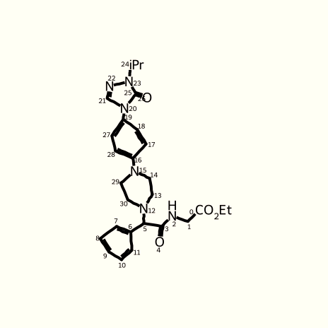 CCOC(=O)CNC(=O)C(c1ccccc1)N1CCN(c2ccc(-n3cnn(C(C)C)c3=O)cc2)CC1